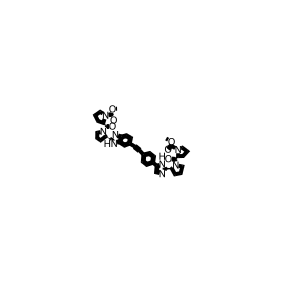 COC(=O)N1CCC[C@H]1C(=O)N1CCC[C@H]1c1ncc(-c2ccc(C#Cc3ccc4nc([C@@H]5CCCN5C(=O)[C@@H]5CCCN5C(=O)OC)[nH]c4c3)cc2)[nH]1